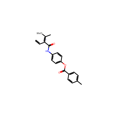 C=C/C(C(=O)Nc1ccc(OC(=O)c2ccc(C)cc2)cc1)=C(/C)OC